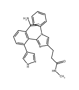 CNC(=O)CCc1cn(-c2ccccc2)c(-c2c(C(N)=O)cccc2-c2cn[nH]c2)n1